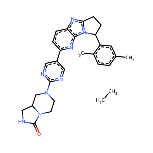 CC.Cc1ccc(C)c(C2CCc3nc4ccc(-c5cnc(N6CCN7C(=O)NCC7C6)nc5)nc4n32)c1